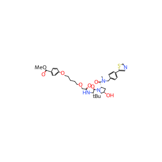 COC(=O)c1ccc(OCCCCCOCC(=O)N[C@H](C(=O)N2C[C@H](O)C[C@H]2C(=O)N(C)Cc2ccc(-c3cncs3)cc2)C(C)(C)C)cc1